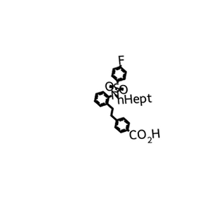 CCCCCCCN(c1ccccc1CCc1ccc(C(=O)O)cc1)S(=O)(=O)c1ccc(F)cc1